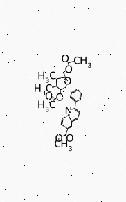 COC(=O)c1ccc2nc(-c3cccc([C@H]4O[C@H](COC(C)=O)[C@@H](C)[C@H](C)[C@@H]4OC(C)=O)c3)ccc2c1